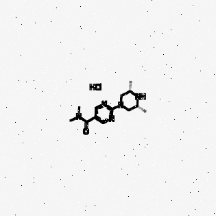 C[C@@H]1CN(c2ncc(C(=O)N(C)C)cn2)C[C@H](C)N1.Cl